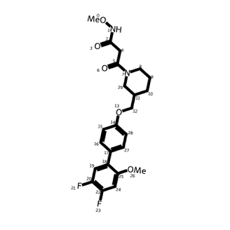 CONC(=O)CC(=O)N1CCCC(COc2ccc(-c3cc(F)c(F)cc3OC)cc2)C1